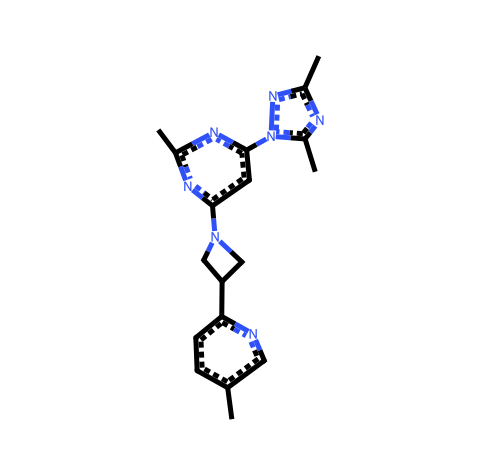 Cc1ccc(C2CN(c3cc(-n4nc(C)nc4C)nc(C)n3)C2)nc1